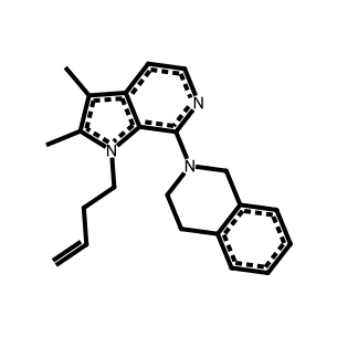 C=CCCn1c(C)c(C)c2ccnc(N3CCc4ccccc4C3)c21